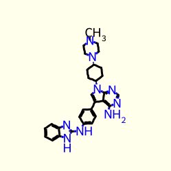 CN1CCN([C@H]2CC[C@H](n3cc(-c4ccc(Nc5nc6ccccc6[nH]5)cc4)c4c(N)ncnc43)CC2)CC1